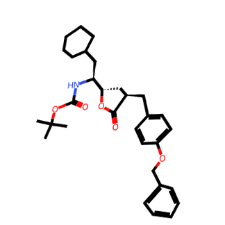 CC(C)(C)OC(=O)N[C@@H](CC1CCCCC1)[C@@H]1C[C@@H](Cc2ccc(OCc3ccccc3)cc2)C(=O)O1